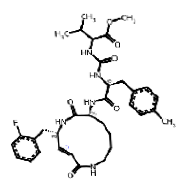 COC(=O)C(NC(=O)N[C@@H](Cc1ccc(C)cc1)C(=O)N[C@H]1CCCCNC(=O)/C=C/[C@H](Cc2ccccc2F)NC1=O)C(C)C